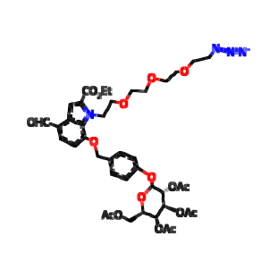 CCOC(=O)c1cc2c(C=O)ccc(OCc3ccc(O[C@@H]4O[C@H](COC(C)=O)[C@H](OC(C)=O)[C@H](OC(C)=O)[C@H]4OC(C)=O)cc3)c2n1CCOCCOCCOCCN=[N+]=[N-]